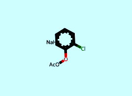 CC(=O)OOc1ccccc1Cl.[NaH]